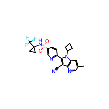 Cc1cnc2c(C#N)c(-c3ccc(S(=O)(=O)NC4(C(F)(F)F)CC4)cn3)n(C3CCC3)c2c1